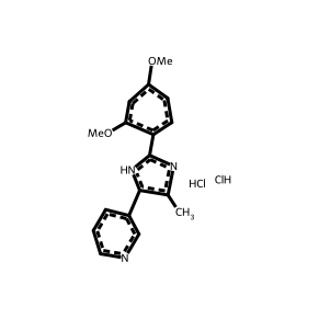 COc1ccc(-c2nc(C)c(-c3cccnc3)[nH]2)c(OC)c1.Cl.Cl